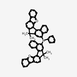 CC1(C)c2cc(N(c3ccccc3)c3cc4c(c5ccccc35)-c3c(ccc5c3oc3ccccc35)C4(C)C)c3ccccc3c2-c2c1ccc1c2oc2ccccc21